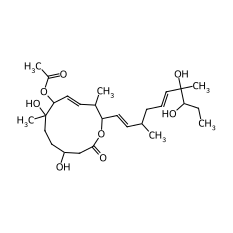 CCC(O)C(C)(O)/C=C/CC(C)/C=C/C1OC(=O)CC(O)CCC(C)(O)C(OC(C)=O)/C=C/C1C